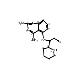 Nc1nc(N)c2c(OC(CI)C3CCCCN3)cccc2n1